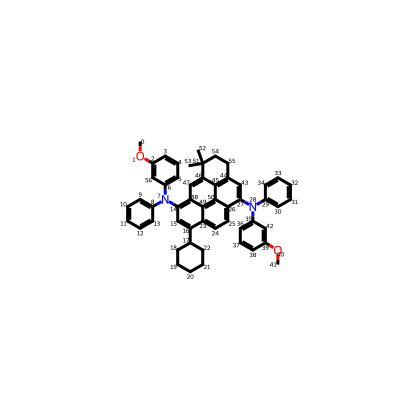 COc1cccc(N(c2ccccc2)c2cc(C3CCCCC3)c3ccc4c(N(c5ccccc5)c5cccc(OC)c5)cc5c6c(cc2c3c46)C(C)(C)CC5)c1